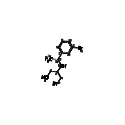 CC(C)CC(CO)N[C@@H](c1cccc(Br)c1)C(F)(F)F